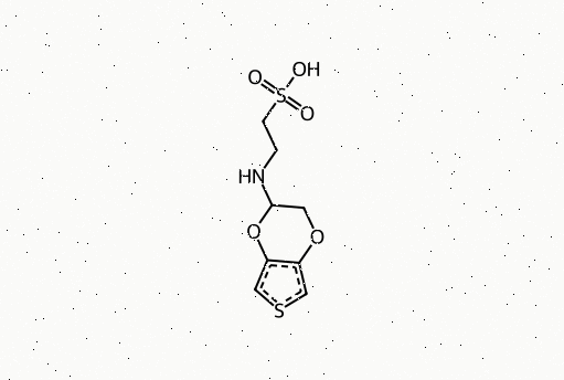 O=S(=O)(O)CCNC1COc2cscc2O1